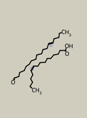 CCCC/C=C/CCCCCCCCCCCC=O.CCCCC/C=C\CCCCCCCCC(=O)O